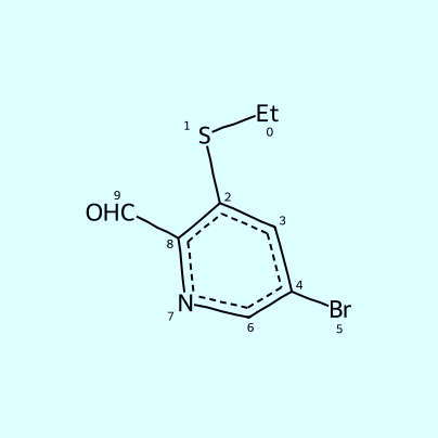 CCSc1cc(Br)cnc1C=O